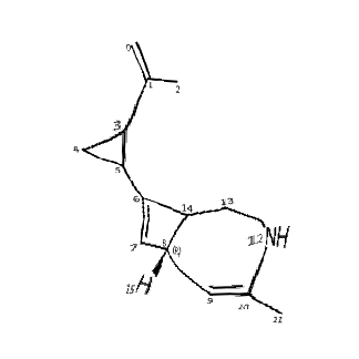 C=C(C)C1CC1C1=C[C@H]2C=C(C)NCC12